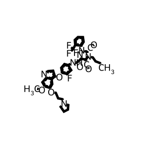 CCCCN1C(=C=O)C(C(=O)Nc2ccc(Oc3ccnc4cc(OC)c(OCCCN5CCCC5)cc34)c(F)c2)=NN(c2ccccc2C(F)(F)F)C1=C=O